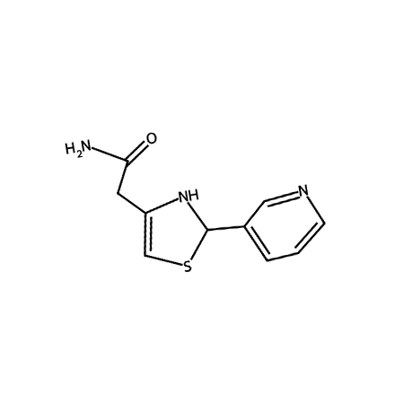 NC(=O)CC1=CSC(c2cccnc2)N1